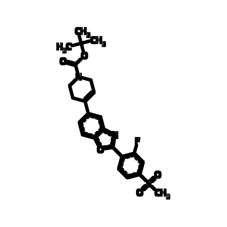 CC(C)(C)OC(=O)N1CC=C(c2ccc3oc(-c4ccc(S(C)(=O)=O)cc4F)nc3c2)CC1